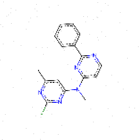 Cc1cc(N(C)c2ccnc(-c3ccccc3)n2)nc(F)n1